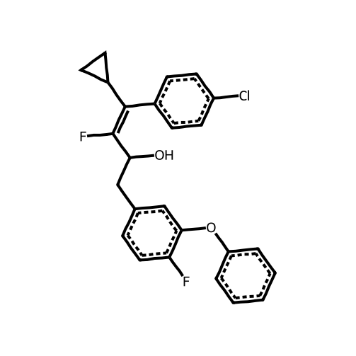 OC(Cc1ccc(F)c(Oc2ccccc2)c1)C(F)=C(c1ccc(Cl)cc1)C1CC1